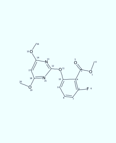 COC(=O)c1c(F)cccc1Oc1nc(OC)cc(OC)n1